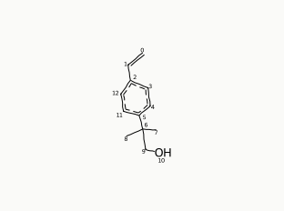 C=Cc1ccc(C(C)(C)CO)cc1